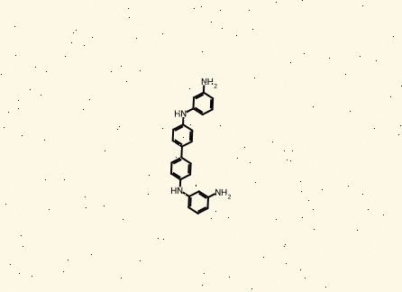 Nc1cccc(Nc2ccc(-c3ccc(Nc4cccc(N)c4)cc3)cc2)c1